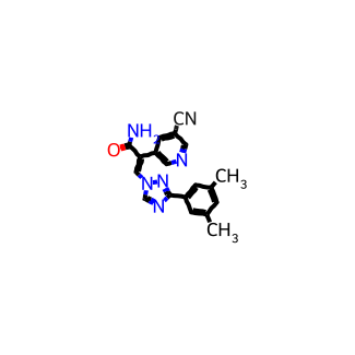 Cc1cc(C)cc(-c2ncn(C=C(C(N)=O)c3cncc(C#N)c3)n2)c1